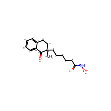 CC1(CCCCCC(=O)NO)CCc2ccccc2C1=O